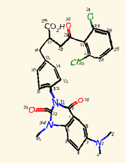 CN(C)c1ccc2c(c1)c(=O)n(-c1ccc(CC(CC(=O)c3c(Cl)cccc3Cl)C(=O)O)cc1)c(=O)n2C